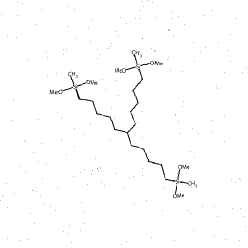 CO[Si](C)(CCCCCC(CCCCC[Si](C)(OC)OC)CCCCC[Si](C)(OC)OC)OC